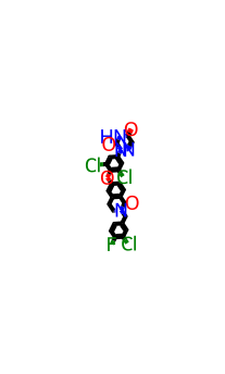 O=C1c2ccc(Oc3c(Cl)cc(-n4ncc(=O)[nH]c4=O)cc3Cl)cc2CCN1Cc1ccc(F)c(Cl)c1